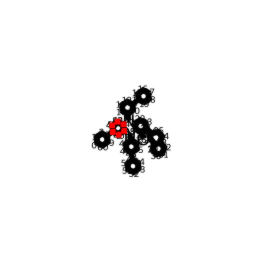 c1ccc(-c2ccc(N(c3cccc(-c4ccccc4)c3)c3ccc4c(oc5c6ccccc6ccc45)c3N(c3ccccc3)c3ccc(-c4ccccc4)cc3)cc2)cc1